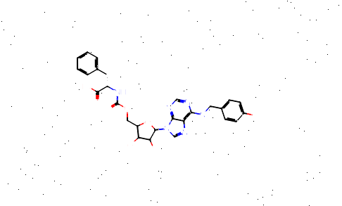 O=C(N[C@@H](Cc1ccccc1)C(=O)O)OCC1OC(n2cnc3c(NCc4ccc(O)cc4)ncnc32)C(O)C1O